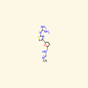 N#C/N=C/NCc1ccc(-c2csc(N=C(N)N)n2)o1